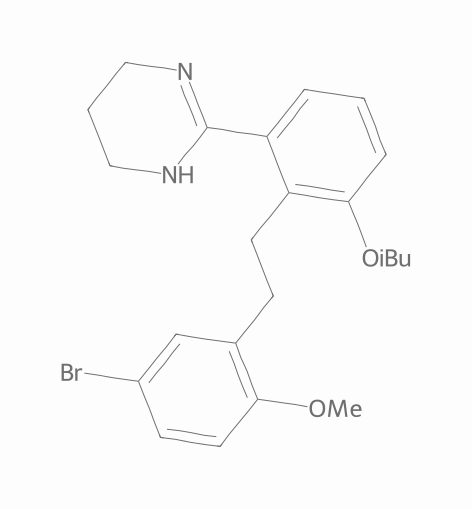 COc1ccc(Br)cc1CCc1c(OCC(C)C)cccc1C1=NCCCN1